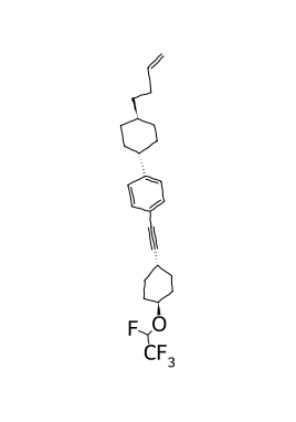 C=CCC[C@H]1CC[C@H](c2ccc(C#C[C@H]3CC[C@H](OC(F)C(F)(F)F)CC3)cc2)CC1